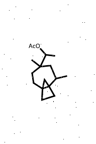 CC(=O)OC(C)C1(C)CCC23CCC2(C3)C(C)C1